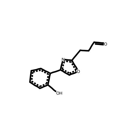 O=CCCc1nc(-c2ccccc2O)co1